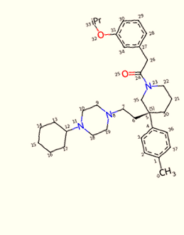 Cc1ccc([C@@]2(CCN3CCN(C4CCCCC4)CC3)CCCN(C(=O)Cc3cccc(OC(C)C)c3)C2)cc1